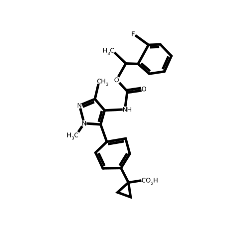 Cc1nn(C)c(-c2ccc(C3(C(=O)O)CC3)cc2)c1NC(=O)OC(C)c1ccccc1F